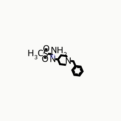 CS(=O)(=O)/C(N)=N/C1CCN(Cc2ccccc2)CC1